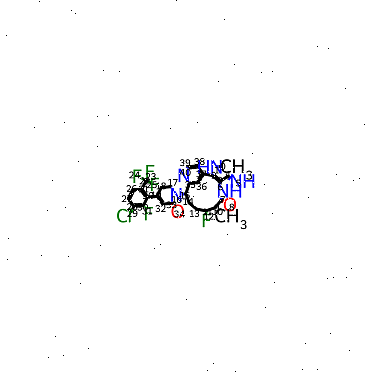 CN/C1=C(\C=N)NC(=O)C(C)C(F)CCC(N2CCC(c3c(C(F)(F)F)ccc(Cl)c3F)=CC2=O)c2cc1ccn2